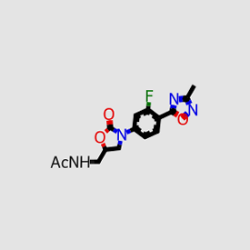 CC(=O)NCC1CN(c2ccc(-c3nc(C)no3)c(F)c2)C(=O)O1